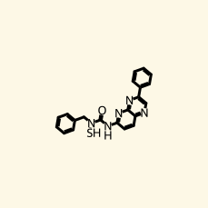 O=C(Nc1ccc2ncc(-c3ccccc3)nc2n1)N(S)Cc1ccccc1